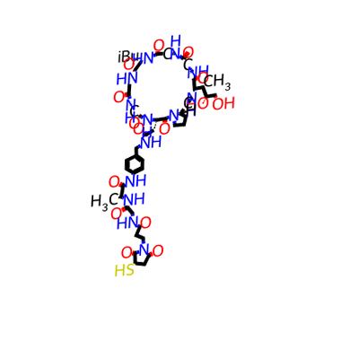 CC[C@H](C)[C@@H]1NC(=O)CNC(=O)CNC(=O)[C@H]([C@@H](C)[C@@H](O)CO)NC[C@@H]2CCCN2C(=O)[C@H](CC(=O)NCc2ccc(NC(=O)[C@H](C)NC(=O)CNC(=O)CCN3C(=O)CC(S)C3=O)cc2)NC(=O)CNC(=O)CNC1=O